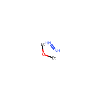 CCOCC.N=N